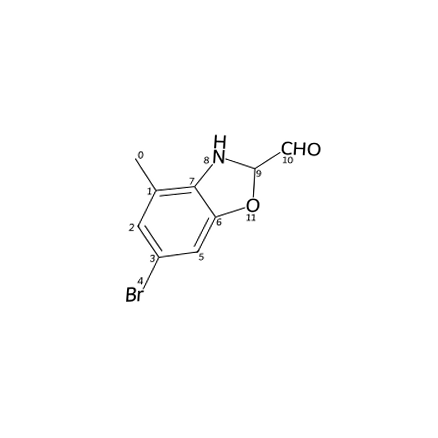 Cc1cc(Br)cc2c1NC(C=O)O2